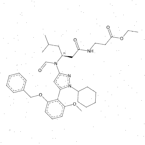 CCOC(=O)CCNC(=O)C[C@H](CC(C)C)N(C=O)c1cc(-c2c(OC)cccc2OCc2ccccc2)n(C2CCCCC2)n1